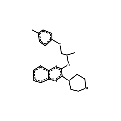 Cc1ccc(OCC(C)Oc2nc3ccccc3nc2N2CCNCC2)cc1